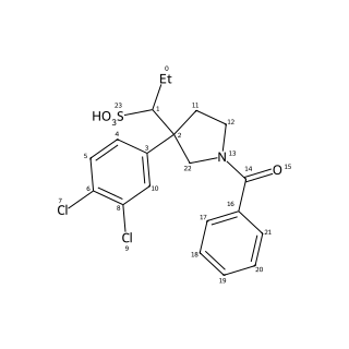 CCC(C1(c2ccc(Cl)c(Cl)c2)CCN(C(=O)c2ccccc2)C1)S(=O)(=O)O